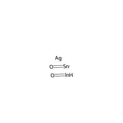 [Ag].[O]=[InH].[O]=[Sn]